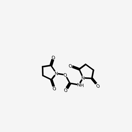 O=C(NN1C(=O)CCC1=O)ON1C(=O)CCC1=O